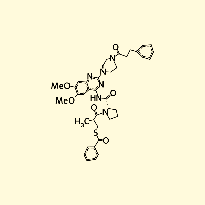 COc1cc2nc(N3CCN(C(=O)CCc4ccccc4)CC3)nc(NC(=O)[C@@H]3CCCN3C(=O)C(C)CSC(=O)c3ccccc3)c2cc1OC